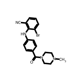 CN1CCN(C(=O)c2ccc(Nc3c(Br)cccc3C#N)cc2)CC1